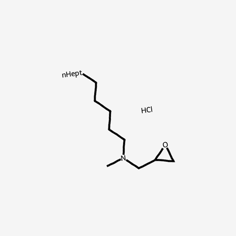 CCCCCCCCCCCCN(C)CC1CO1.Cl